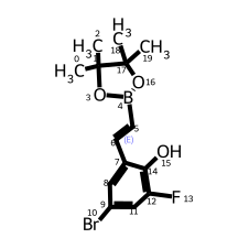 CC1(C)OB(/C=C/c2cc(Br)cc(F)c2O)OC1(C)C